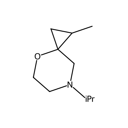 CC(C)N1CCOC2(CC2C)C1